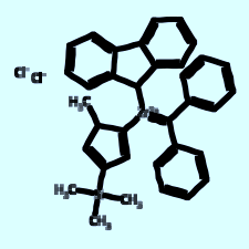 CC1C=C([Si](C)(C)C)C=[C]1[Zr+2](=[C](c1ccccc1)c1ccccc1)[CH]1c2ccccc2-c2ccccc21.[Cl-].[Cl-]